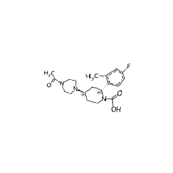 CC(=O)N1CCN([C@@H]2CCN(C(=O)O)[C@@H](c3ccc(F)cc3C)C2)CC1